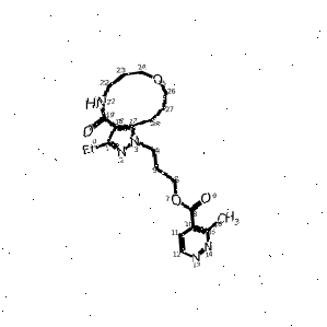 CCc1nn(CCCOC(=O)c2ccnnc2C)c2c1C(=O)NCCCOCCC2